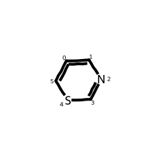 C1=CN=CSC=1